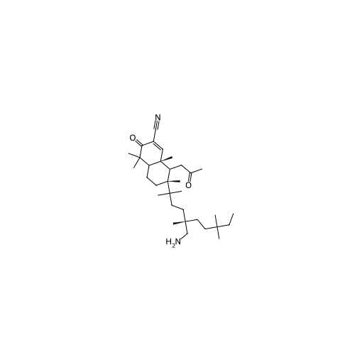 CCC(C)(C)CC[C@](C)(CN)CCC(C)(C)[C@]1(C)CCC2C(C)(C)C(=O)C(C#N)=C[C@]2(C)C1CC(C)=O